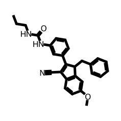 CCCNC(=O)Nc1cccc(C2=C(C#N)c3ccc(OC)cc3C2Cc2ccccc2)c1